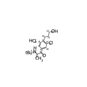 CC(NC(C)(C)C)C(=O)c1ccc(CCCO)c(Cl)c1.Cl